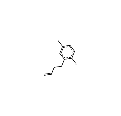 C=CCCc1cc(C)ccc1F